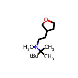 CN(CCC1CCOC1)C(C)(C)C(C)(C)C